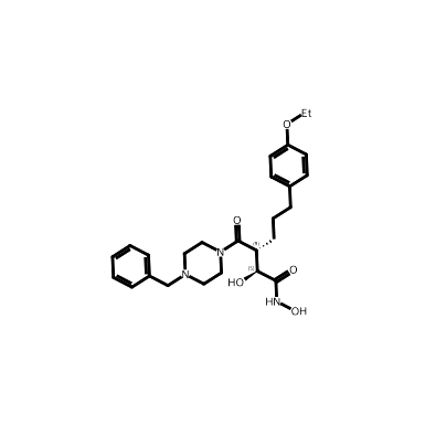 CCOc1ccc(CCC[C@@H](C(=O)N2CCN(Cc3ccccc3)CC2)[C@H](O)C(=O)NO)cc1